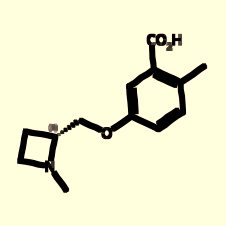 Cc1ccc(OC[C@H]2CCN2C)cc1C(=O)O